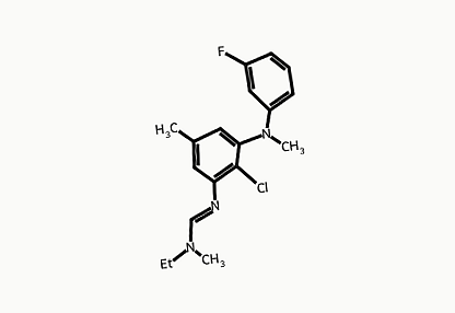 CCN(C)C=Nc1cc(C)cc(N(C)c2cccc(F)c2)c1Cl